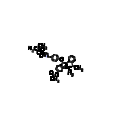 CC(=O)Oc1ccc2c(Oc3ccc(/C=C/C(=O)OC(C)(C)C)cc3)c(-c3ccccc3C(C)C)sc2c1